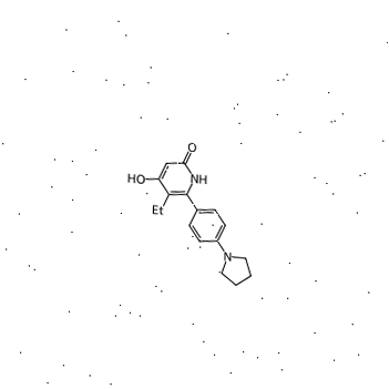 CCc1c(O)cc(=O)[nH]c1-c1ccc(N2CCCC2)cc1